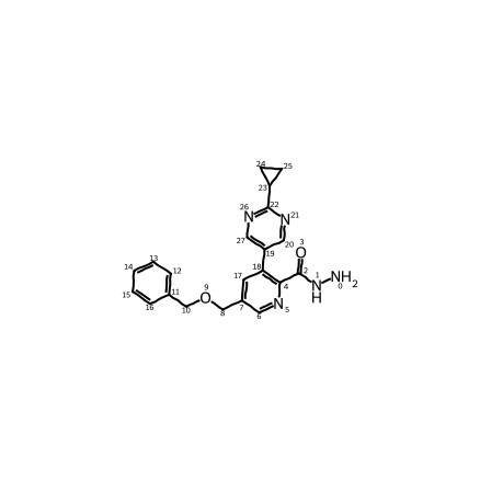 NNC(=O)c1ncc(COCc2ccccc2)cc1-c1cnc(C2CC2)nc1